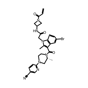 C=CC(=O)N1CC(NC(=O)Cn2c(C)c(C(=O)N3CCN(c4ccc(C#N)cn4)C[C@H]3C)c3cc(Br)ccc32)C1